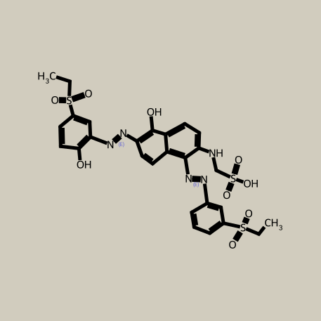 CCS(=O)(=O)c1cccc(/N=N/c2c(NCS(=O)(=O)O)ccc3c(O)c(/N=N/c4cc(S(=O)(=O)CC)ccc4O)ccc23)c1